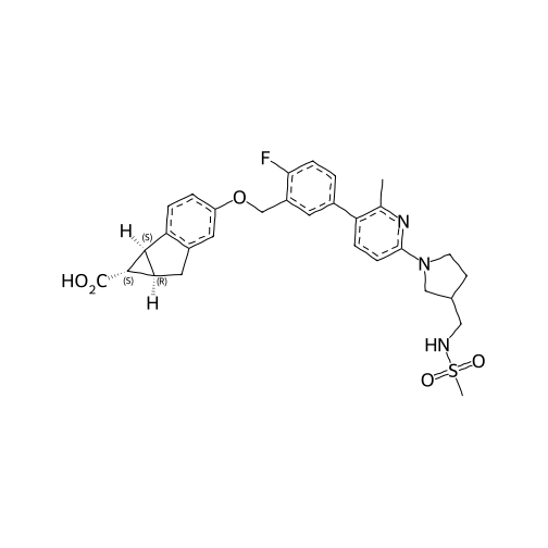 Cc1nc(N2CCC(CNS(C)(=O)=O)C2)ccc1-c1ccc(F)c(COc2ccc3c(c2)C[C@H]2[C@H](C(=O)O)[C@@H]32)c1